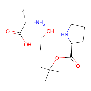 CC(C)(C)OC(=O)[C@@H]1CCCN1.CCO.C[C@H](N)C(=O)O